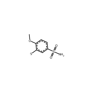 COc1ccc(S(N)(=O)=O)cc1[S]